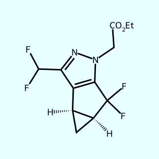 CCOC(=O)Cn1nc(C(F)F)c2c1C(F)(F)[C@H]1C[C@@H]21